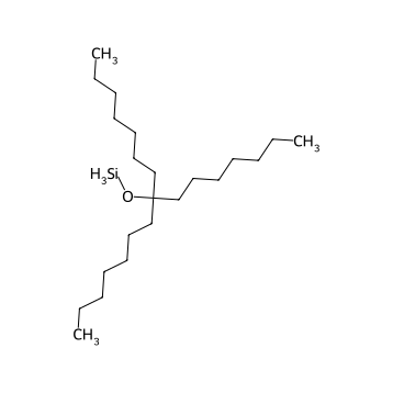 CCCCCCCC(CCCCCCC)(CCCCCCC)O[SiH3]